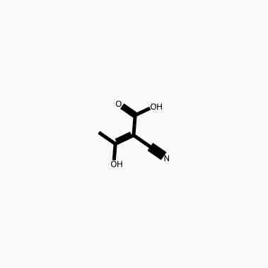 C/C(O)=C(/C#N)C(=O)O